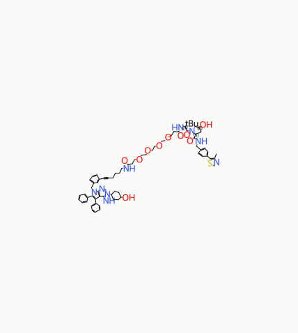 Cc1ncsc1-c1ccc(CNC(=O)[C@@H]2C[C@@H](O)CN2C(=O)[C@@H](NC(=O)CCOCCOCCOCCOCCC(=O)NCCCCC#Cc2cccc(Cn3c(-c4ccccc4)c(-c4ccccc4)c4c(=N)n(C5CCC(O)CC5)cnc43)c2)C(C)(C)C)cc1